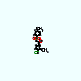 Cc1ccc(S(=O)(=O)CC(=O)c2ccc(Cl)c(C)c2)cc1